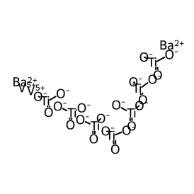 [Ba+2].[Ba+2].[O]=[Ti]([O-])[O-].[O]=[Ti]([O-])[O-].[O]=[Ti]([O-])[O-].[O]=[Ti]([O-])[O-].[O]=[Ti]([O-])[O-].[O]=[Ti]([O-])[O-].[O]=[Ti]([O-])[O-].[V+5].[V+5]